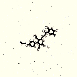 C=CCOc1ccc(-c2c(C#N)c(N)nc(SCC(=O)c3cc(F)c(Cl)cc3Cl)c2C#N)cc1